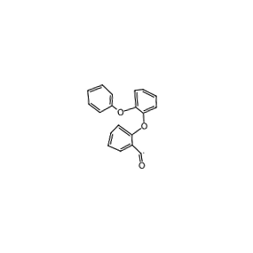 O=[C]c1ccccc1Oc1ccccc1Oc1ccccc1